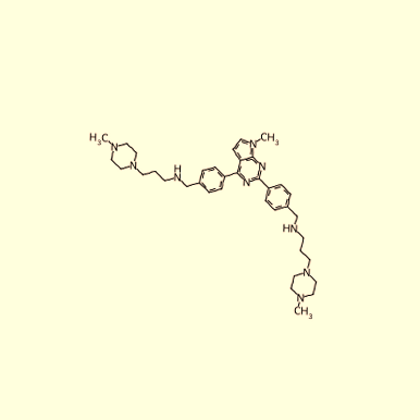 CN1CCN(CCCNCc2ccc(-c3nc(-c4ccc(CNCCCN5CCN(C)CC5)cc4)c4ccn(C)c4n3)cc2)CC1